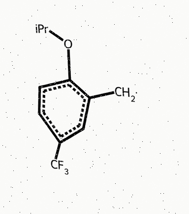 [CH2]c1cc(C(F)(F)F)ccc1OC(C)C